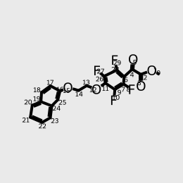 COC(=O)C(=O)c1c(F)c(F)c(OCCOc2ccc3ccccc3c2)c(F)c1F